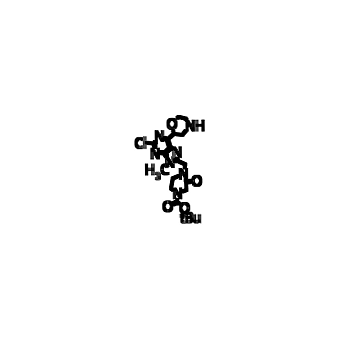 Cn1c(CN2CCN(C(=O)OC(C)(C)C)CC2=O)nc2c(C3CNCCO3)nc(Cl)nc21